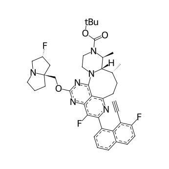 C#Cc1c(F)ccc2cccc(-c3nc4c5c(nc(OC[C@@]67CCCN6C[C@H](F)C7)nc5c3F)N3CCN(C(=O)OC(C)(C)C)[C@@H](C)[C@@H]3[C@H](C)CC4)c12